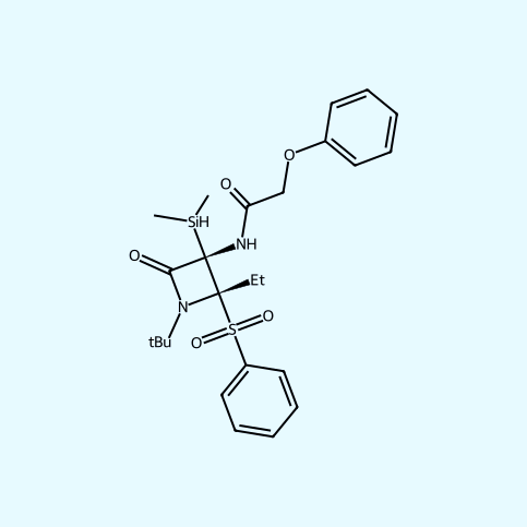 CC[C@@]1(S(=O)(=O)c2ccccc2)N(C(C)(C)C)C(=O)[C@]1(NC(=O)COc1ccccc1)[SiH](C)C